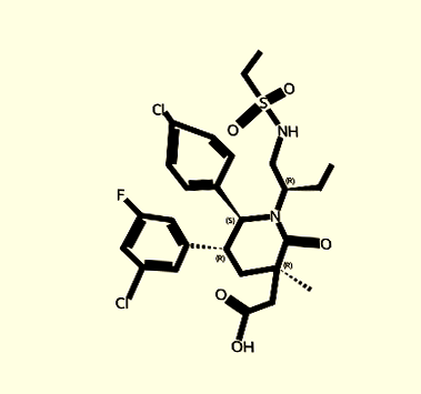 CC[C@H](CNS(=O)(=O)CC)N1C(=O)[C@@](C)(CC(=O)O)C[C@H](c2cc(F)cc(Cl)c2)[C@H]1c1ccc(Cl)cc1